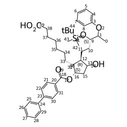 CC(Oc1ccccc1)[C@H](CC[C@H]1C(O)C[C@H](OC(=O)c2ccc(-c3ccccc3)cc2)[C@@H]1CCCCCCC(=O)O)O[Si](C)(C)C(C)(C)C